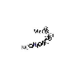 CCN(CCOC(=O)C(C)(CC)CC(C)(C)C(=O)OC)c1ccc(/N=N/c2ccc(C#N)cc2)cc1